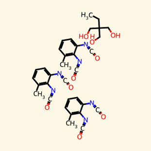 CCC(CO)(CO)CO.Cc1cccc(N=C=O)c1N=C=O.Cc1cccc(N=C=O)c1N=C=O.Cc1cccc(N=C=O)c1N=C=O